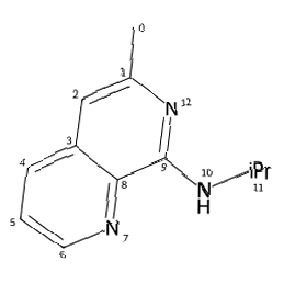 Cc1cc2cccnc2c(NC(C)C)n1